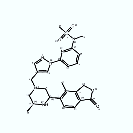 Cc1c([C@@H]2CN(Cc3cnn(-c4cccc(N(C)S(C)(=O)=O)n4)c3)C[C@H](C)N2)ccc2c1COC2=O